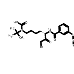 CC(C)(C)N(CCCC[C@H](NC(=O)c1cccc(N=[N+]=[N-])c1)C(=O)CBr)C(=O)O